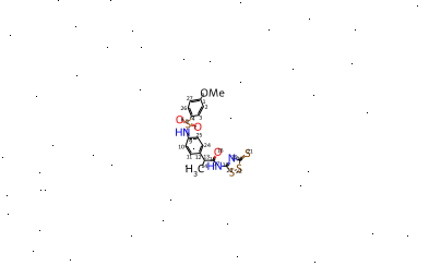 COc1ccc(S(=O)(=O)Nc2ccc(C(C)C(=O)Nc3nc(=S)ss3)cc2)cc1